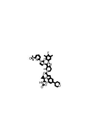 Cc1cc(-n2nc3c(c2-n2ccn(-c4cccc(P(C)(C)=O)n4)c2=O)[C@H](C)N(C(=O)c2cc4cc(C5CCOCC5)ccc4n2[C@@]2(c4noc(=O)[nH]4)C[C@@H]2C)CC3)cc(C)c1F